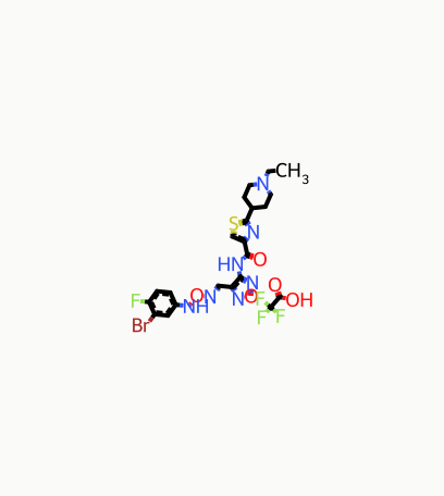 CCN1CCC(c2nc(C(=O)Nc3nonc3/C=N/ONc3ccc(F)c(Br)c3)cs2)CC1.O=C(O)C(F)(F)F